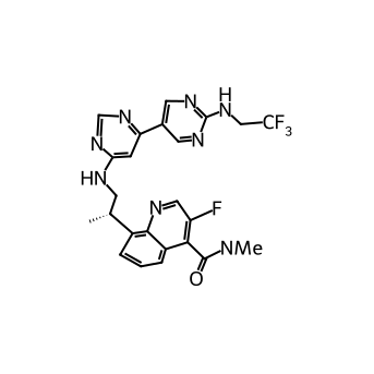 CNC(=O)c1c(F)cnc2c([C@H](C)CNc3cc(-c4cnc(NCC(F)(F)F)nc4)ncn3)cccc12